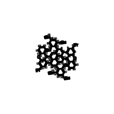 CC(C)c1cc2c3c(c1)-c1cc(-c4c(C(C)(C)C)cc(C(C)(C)C)cc4C(C)(C)C)c4cc5c6c(cc(-c7c(C(C)(C)C)cc(C(C)(C)C)cc7C(C)(C)C)c7cc(c1c4c76)B3c1ccccc1O2)-c1cc(C(C)C)cc2c1B5c1ccccc1O2